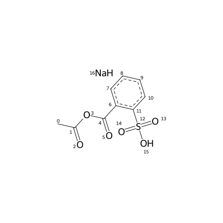 CC(=O)OC(=O)c1ccccc1S(=O)(=O)O.[NaH]